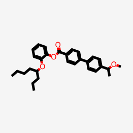 CCCCC(CCC)Oc1ccccc1OC(=O)c1ccc(-c2ccc(C(C)OC)cc2)cc1